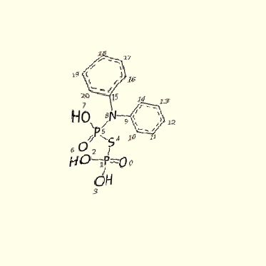 O=P(O)(O)SP(=O)(O)N(c1ccccc1)c1ccccc1